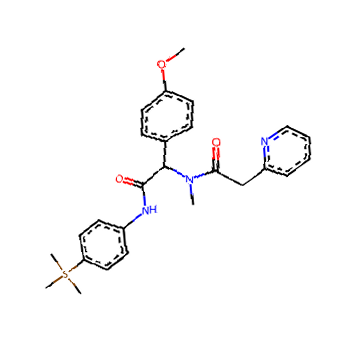 COc1ccc(C(C(=O)Nc2ccc(S(C)(C)C)cc2)N(C)C(=O)Cc2ccccn2)cc1